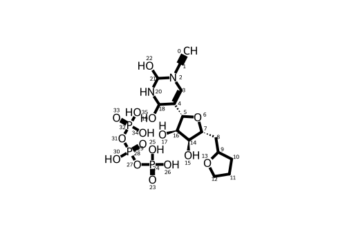 C#CN1C=C([C@@H]2O[C@H](CC3CCCO3)[C@@H](O)[C@H]2O)C(O)NC1O.O=P(O)(O)OP(=O)(O)OP(=O)(O)O